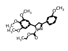 CCOC(=O)N1N=C(c2cccc(OC)c2)CC1c1cc(OC)c(OC)c(OC)c1